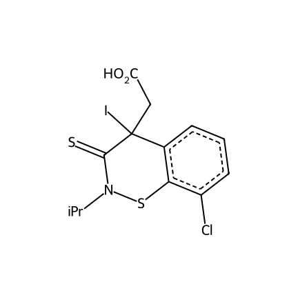 CC(C)N1Sc2c(Cl)cccc2C(I)(CC(=O)O)C1=S